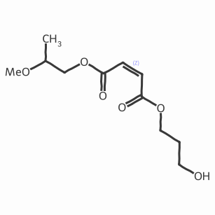 COC(C)COC(=O)/C=C\C(=O)OCCCO